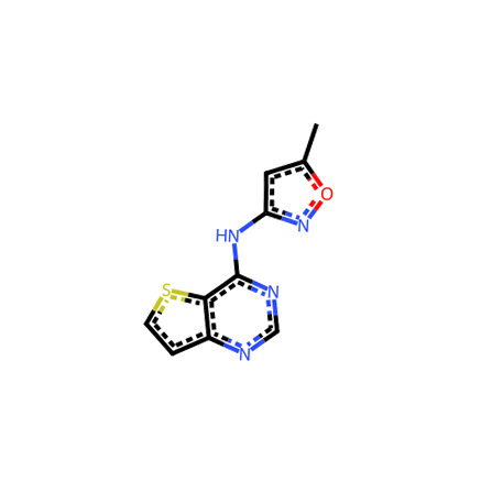 Cc1cc(Nc2ncnc3ccsc23)no1